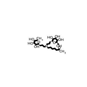 CC(=O)CCCCCN(CCC[C@@H]1O[C@@H](C)[C@@H](O)[C@@H](O)[C@@H]1O)CCC[C@H]1O[C@H](CO)[C@@H](O)[C@H](O)[C@@H]1O